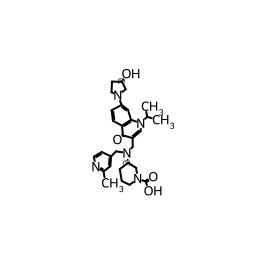 Cc1cc(CN(Cc2cn(C(C)C)c3cc(N4CC[C@@H](O)C4)ccc3c2=O)[C@H]2CCCN(C(=O)O)C2)ccn1